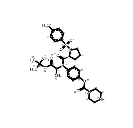 Cc1ccc(S(=O)(=O)N2CCC[C@H]2C(=O)N(c2ccc(OC(=O)N3CCNCC3)cc2)[C@@H](C)C(=O)OC(C)(C)C)cc1